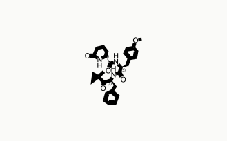 COc1ccc(C[C@H](NC(=O)[C@H]2CCCC(=O)N2)C(=O)N[C@@H](Cc2ccccc2)C(=O)C2(C)CC2)cc1